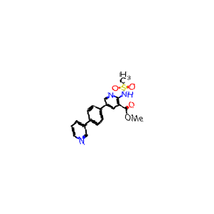 COC(=O)c1cc(-c2ccc(-c3cccnc3)cc2)cnc1NS(C)(=O)=O